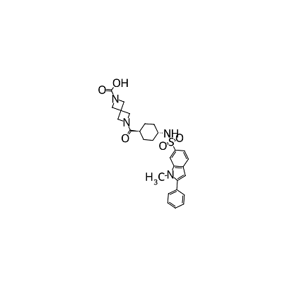 Cn1c(-c2ccccc2)cc2ccc(S(=O)(=O)N[C@H]3CC[C@H](C(=O)N4CC5(CN(C(=O)O)C5)C4)CC3)cc21